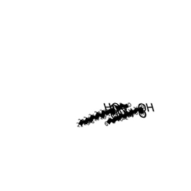 CCCC(O)O.CCCCCCCCCCCCC(=O)O.CCCCCCCCCCCCC(=O)O